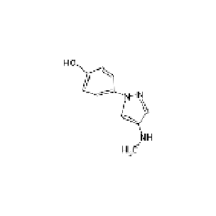 CNc1cnn(-c2ccc(O)cc2)c1